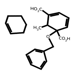 C1=CCCCC1.CC1C(C(=O)O)=CC=CC1(OCc1ccccc1)C(=O)O